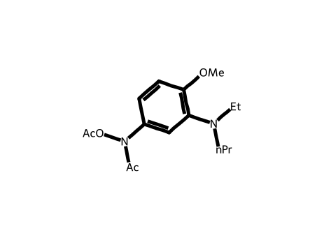 CCCN(CC)c1cc(N(OC(C)=O)C(C)=O)ccc1OC